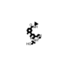 Cc1ccc(C(=O)NC2CC2)cc1-c1cnc(NC(C)(C)CO)c(-c2cncs2)c1